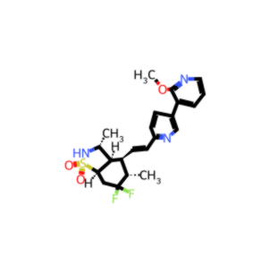 COc1ncccc1-c1ccc(/C=C/[C@@H]2[C@H]3[C@@H](CC(F)(F)[C@H]2C)S(=O)(=O)N[C@@H]3C)nc1